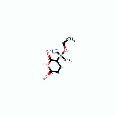 CCO[Si](C)(C)C1CCC(=O)OC1=O